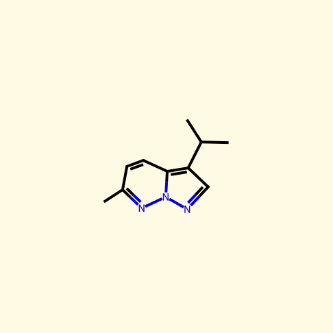 Cc1ccc2c(C(C)C)cnn2n1